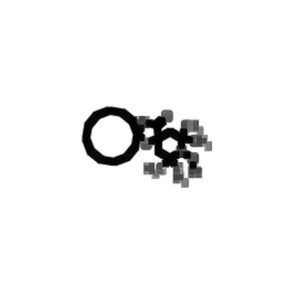 CCON1C(C)(C)CC2(CC1(C)C)OC1(CCCCCCCCCCC1)NC2=O